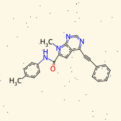 Cc1ccc(NC(=O)c2cc3c(C#Cc4ccccc4)ncnc3n2C)cc1